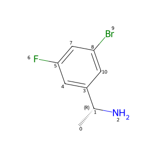 C[C@@H](N)c1cc(F)cc(Br)c1